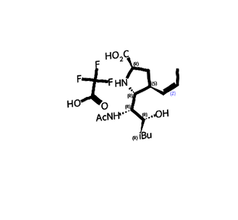 C/C=C\[C@@H]1C[C@H](C(=O)O)N[C@H]1[C@@H](NC(C)=O)[C@H](O)[C@H](C)CC.O=C(O)C(F)(F)F